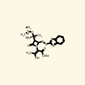 COC(=O)/C(=C(/C)O)N1C(=O)C([C@@](C)(O[SiH](C)C)C(C)(C)C)C1SSc1nc2ccccc2s1